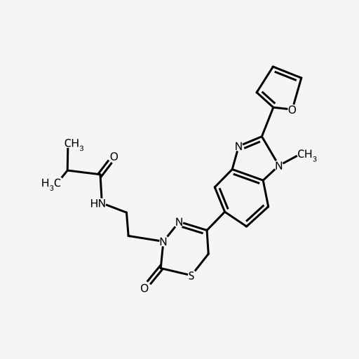 CC(C)C(=O)NCCN1N=C(c2ccc3c(c2)nc(-c2ccco2)n3C)CSC1=O